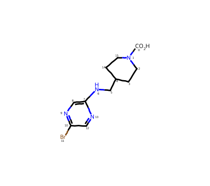 O=C(O)N1CCC(CNc2cnc(Br)cn2)CC1